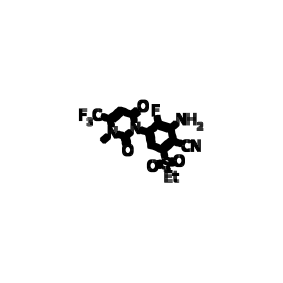 CCS(=O)(=O)c1cc(-n2c(=O)cc(C(F)(F)F)n(C)c2=O)c(F)c(N)c1C#N